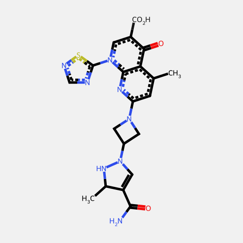 Cc1cc(N2CC(N3C=C(C(N)=O)C(C)N3)C2)nc2c1c(=O)c(C(=O)O)cn2-c1ncns1